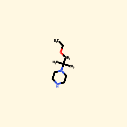 CCO[SiH2]C(C)(C)N1CCNCC1